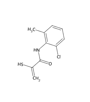 C=C(S)C(=O)Nc1c(C)cccc1Cl